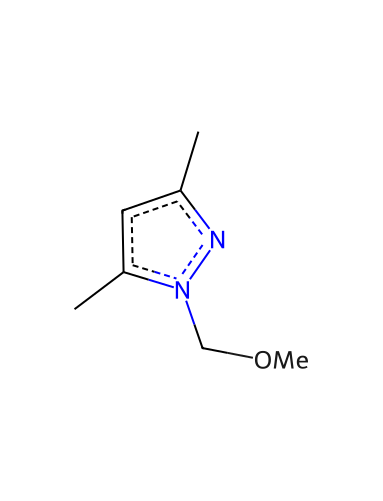 COCn1nc(C)cc1C